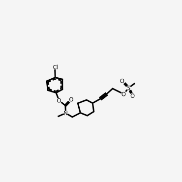 CN(CC1CCC(C#CCOS(C)(=O)=O)CC1)C(=O)Oc1ccc(Cl)cc1